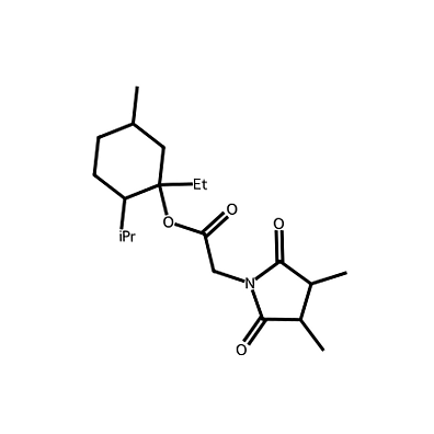 CCC1(OC(=O)CN2C(=O)C(C)C(C)C2=O)CC(C)CCC1C(C)C